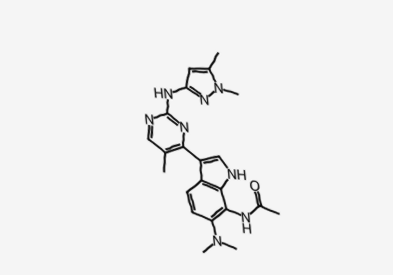 CC(=O)Nc1c(N(C)C)ccc2c(-c3nc(Nc4cc(C)n(C)n4)ncc3C)c[nH]c12